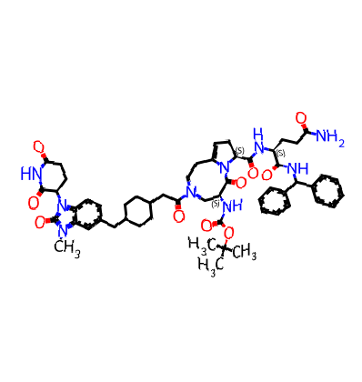 Cn1c(=O)n(C2CCC(=O)NC2=O)c2ccc(CC3CCC(CC(=O)N4CCC5=CC[C@@H](C(=O)N[C@@H](CCC(N)=O)C(=O)NC(c6ccccc6)c6ccccc6)N5C(=O)[C@@H](NC(=O)OC(C)(C)C)C4)CC3)cc21